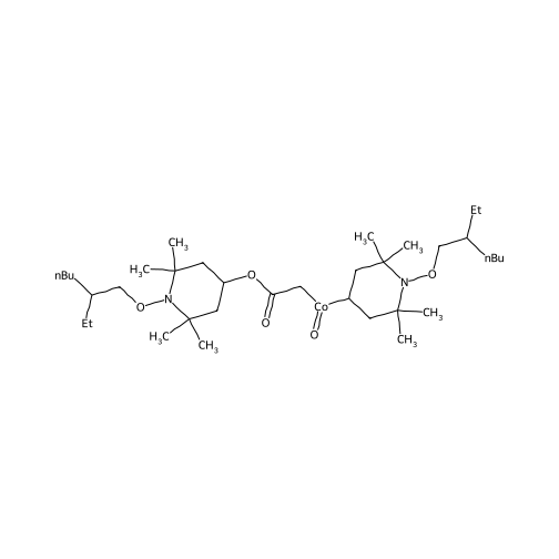 CCCCC(CC)CON1C(C)(C)CC(OC(=O)[CH2][Co](=[O])[CH]2CC(C)(C)N(OCC(CC)CCCC)C(C)(C)C2)CC1(C)C